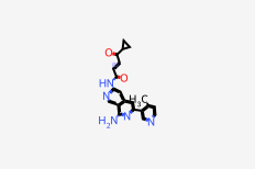 Cc1ccncc1-c1cc2cc(NC(=O)/C=C/C(=O)C3CC3)ncc2c(N)n1